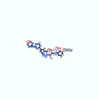 COc1cc(F)cc([C@@H](CO)NC(=O)C(C)n2cnn3cc(-c4ccnc(NC5CCOCC5)n4)cc3c2=O)c1